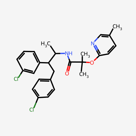 Cc1ccc(OC(C)(C)C(=O)NC(C)C(Cc2ccc(Cl)cc2)c2cccc(Cl)c2)nc1